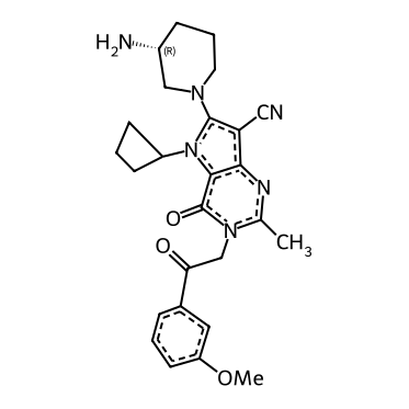 COc1cccc(C(=O)Cn2c(C)nc3c(C#N)c(N4CCC[C@@H](N)C4)n(C4CCC4)c3c2=O)c1